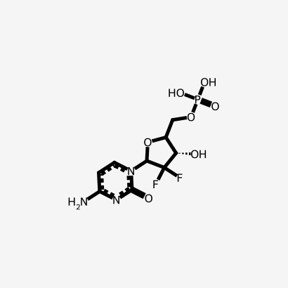 Nc1ccn(C2OC(COP(=O)(O)O)[C@H](O)C2(F)F)c(=O)n1